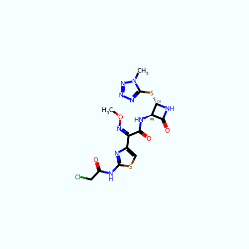 CON=C(C(=O)N[C@@H]1C(=O)N[C@H]1Sc1nnnn1C)c1csc(NC(=O)CCl)n1